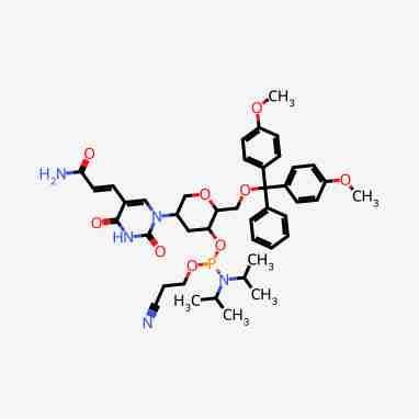 COc1ccc(C(OCC2OCC(n3cc(/C=C/C(N)=O)c(=O)[nH]c3=O)CC2OP(OCCC#N)N(C(C)C)C(C)C)(c2ccccc2)c2ccc(OC)cc2)cc1